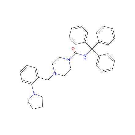 O=C(NC(c1ccccc1)(c1ccccc1)c1ccccc1)N1CCN(Cc2ccccc2N2CCCC2)CC1